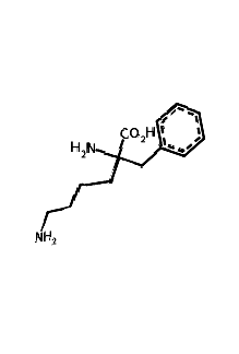 NCCCCC(N)(Cc1ccccc1)C(=O)O